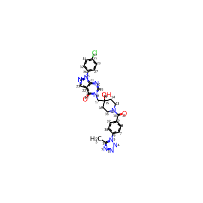 Cc1nnnn1-c1ccc(C(=O)N2CCC(O)(Cn3cnc4c(cnn4-c4ccc(Cl)cc4)c3=O)CC2)cc1